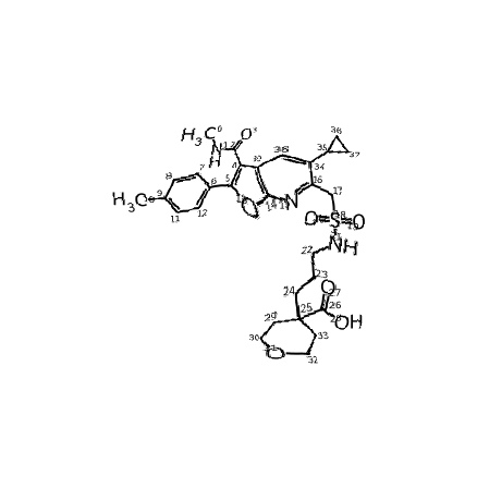 CNC(=O)c1c(-c2ccc(C)cc2)oc2nc(CS(=O)(=O)NCCCC3(C(=O)O)CCOCC3)c(C3CC3)cc12